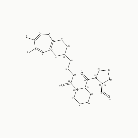 CC1=CCC2=C(C=C1C)CC(CCCC(=O)N1CCCCC1C(=O)N1CCC[C@H]1C=O)CC2